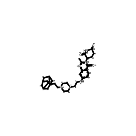 Cc1nc2cc(NCCN3CCN(CCC45CC6CC(CC(C6)C4)C5)CC3)ccc2c(=O)n1C1CCC(=O)NC1=O